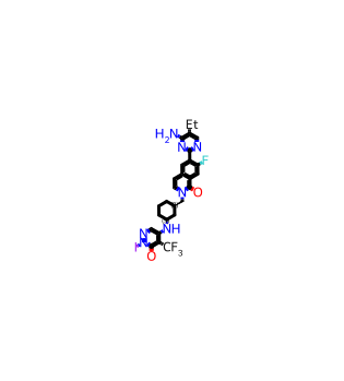 CCc1cnc(-c2cc3ccn(C[C@@H]4CCC[C@H](Nc5cnn(I)c(=O)c5C(F)(F)F)C4)c(=O)c3cc2F)nc1N